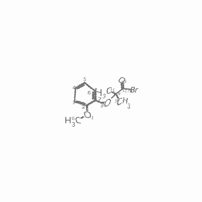 COc1ccccc1OC(C)(C)C(=O)Br